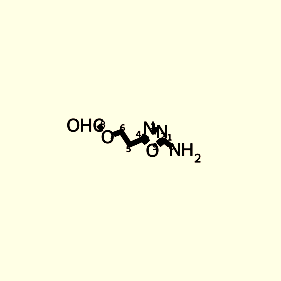 Nc1nnc(CCOC=O)o1